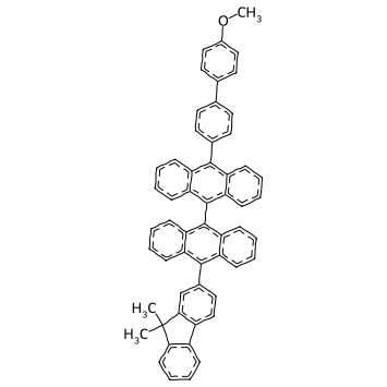 COc1ccc(-c2ccc(-c3c4ccccc4c(-c4c5ccccc5c(-c5ccc6c(c5)C(C)(C)c5ccccc5-6)c5ccccc45)c4ccccc34)cc2)cc1